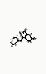 O=c1[nH]nc(CC2CCOCC2)c2ccc(Br)cc12